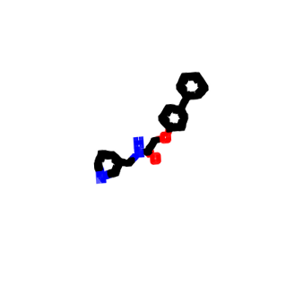 O=C(COc1ccc(-c2ccccc2)cc1)NCc1cccnc1